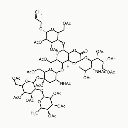 C=CCO[C@@H]1OC(COC(C)=O)[C@@H](O[C@@H]2OC(COC(C)=O)[C@H](O[C@@H]3OC(COC(C)=O)[C@@](OC(C)=O)(O[C@@H]4OC(COC(C)=O)[C@H](OC(C)=O)[C@H](OC(C)=O)C4O[C@@H]4OC(C)[C@H](OC(C)=O)[C@H](OC(C)=O)C4OC(C)=O)CC3NC(C)=O)[C@@H]3O[C@@]4(CC(OC(C)=O)[C@@H](NC(C)=O)[C@H]([C@H](OC(C)=O)[C@@H](COC(C)=O)OC(C)=O)O4)C(=O)OC23)[C@H](OC(C)=O)C1OC(C)=O